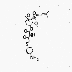 COC1C(OC(=O)NC(=O)CSc2ccc(N)cc2)CC[C@]2(CO2)C1[C@H]1O[C@@H]1CC=C(C)C